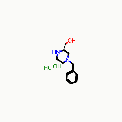 Cl.Cl.OC[C@@H]1CN(Cc2ccccc2)CCN1